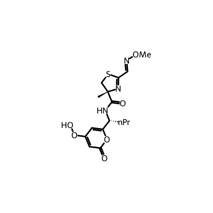 CCC[C@@H](NC(=O)[C@]1(C)CSC(/C=N/OC)=N1)c1cc(OO)cc(=O)o1